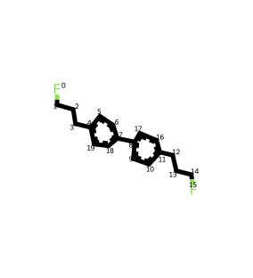 FCCCc1ccc(-c2ccc(CCCF)cc2)cc1